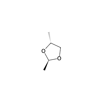 C[C@@H]1OC[C@@H](C)O1